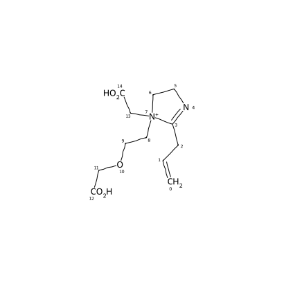 C=CCC1=NCC[N+]1(CCOCC(=O)O)CC(=O)O